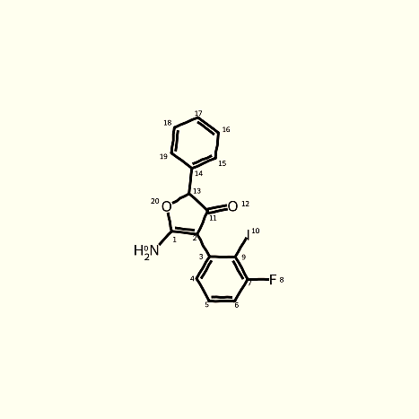 NC1=C(c2cccc(F)c2I)C(=O)C(c2ccccc2)O1